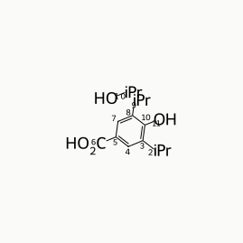 CC(C)O.CC(C)c1cc(C(=O)O)cc(C(C)C)c1O